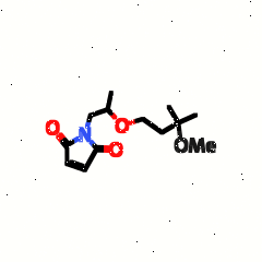 COC(C)(C)CCOC(C)CN1C(=O)C=CC1=O